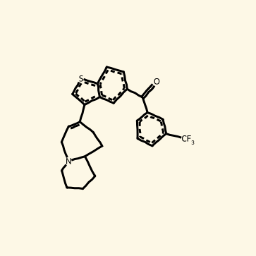 O=C(c1cccc(C(F)(F)F)c1)c1ccc2scc(C3=CCN4CCCCC4CC3)c2c1